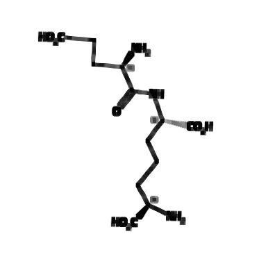 N[C@H](CCC[C@H](NC(=O)[C@H](N)CCC(=O)O)C(=O)O)C(=O)O